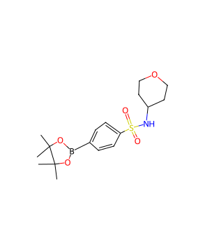 CC1(C)OB(c2ccc(S(=O)(=O)NC3CCOCC3)cc2)OC1(C)C